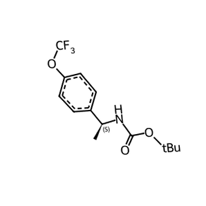 C[C@H](NC(=O)OC(C)(C)C)c1ccc(OC(F)(F)F)cc1